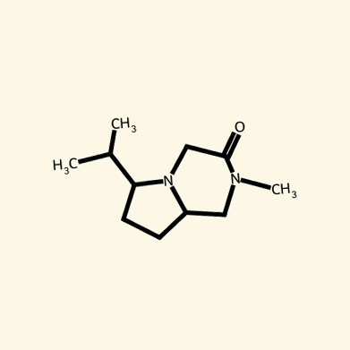 CC(C)C1CCC2CN(C)C(=O)CN21